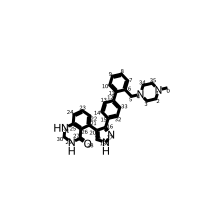 CN1CCN(Cc2ccccc2-c2ccc(-c3n[nH]cc3-c3cccc4c3C(=O)NCN4)cc2)CC1